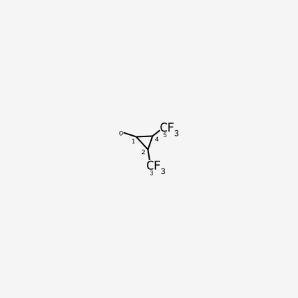 CC1C(C(F)(F)F)C1C(F)(F)F